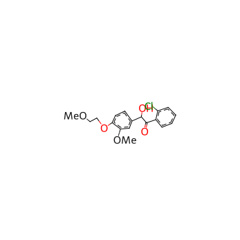 COCCOc1ccc(C(O)C(=O)c2ccccc2Cl)cc1OC